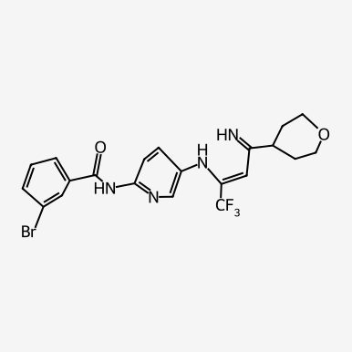 N=C(/C=C(\Nc1ccc(NC(=O)c2cccc(Br)c2)nc1)C(F)(F)F)C1CCOCC1